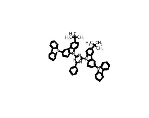 CC(C)(C)c1ccc2c(c1)c1cc(-n3c4ccccc4c4ccccc43)ccc1n2-c1nc(-c2ccccc2)nc(-n2c3ccc(-n4c5ccccc5c5ccccc54)cc3c3cc(C(C)(C)C)ccc32)n1